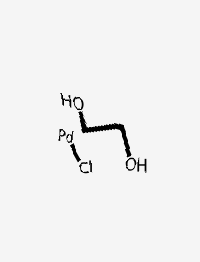 OCCO.[Cl][Pd]